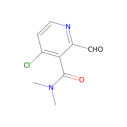 CN(C)C(=O)c1c(Cl)ccnc1C=O